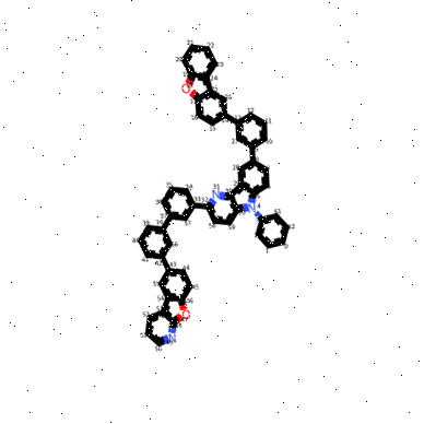 c1ccc(-n2c3ccc(-c4cccc(-c5ccc6oc7ccccc7c6c5)c4)cc3c3nc(-c4cccc(-c5cccc(-c6ccc7oc8ncccc8c7c6)c5)c4)ccc32)cc1